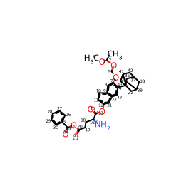 COC(C)OCOc1cc2ccc(OC(=O)C(N)CCC(=O)OC(=O)c3ccccc3)cc2cc1C12CC3CC(CC(C3)C1)C2